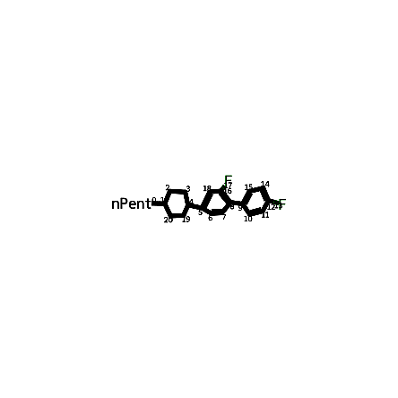 CCCCCC1CCC(c2ccc(-c3ccc(F)cc3)c(F)c2)CC1